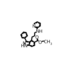 CCOC(=O)c1ccc2[nH]nc(-c3ccccc3)c2c1CCCNc1ccccn1